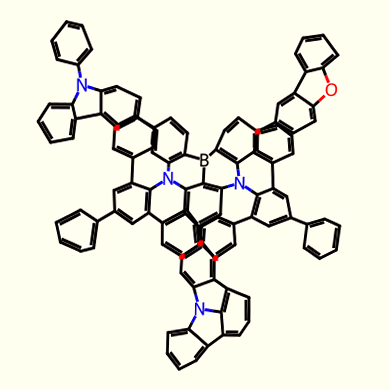 c1ccc(-c2cc(-c3ccccc3)c(N3c4cc(-c5ccc6oc7ccccc7c6c5)ccc4B4c5ccc(-c6ccc7c(c6)c6ccccc6n7-c6ccccc6)cc5N(c5c(-c6ccccc6)cc(-c6ccccc6)cc5-c5ccccc5)c5cc(-c6ccc7c(c6)c6cccc8c9ccccc9n7c86)cc3c54)c(-c3ccccc3)c2)cc1